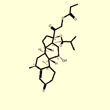 CCC(=O)OCC(=O)[C@@]1(OC(=O)C(C)C)CC[C@H]2[C@@H]3C[C@H](C)C4=CC(=O)CC[C@]4(C)[C@H]3[C@@H](O)C[C@@]21C